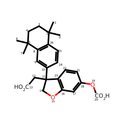 CC1(C)CCC(C)(C)c2cc(C3(CC(=O)O)COc4cc(OC(=O)O)ccc43)ccc21